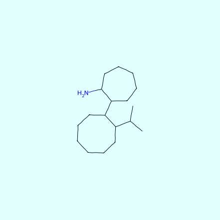 CC(C)C1CCCCCCC1C1CCCCCC1N